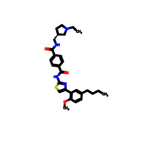 CCCCc1ccc(OC)c(-c2csc(NC(=O)c3ccc(C(=O)NC[C@@H]4CCN(CC)C4)cc3)n2)c1